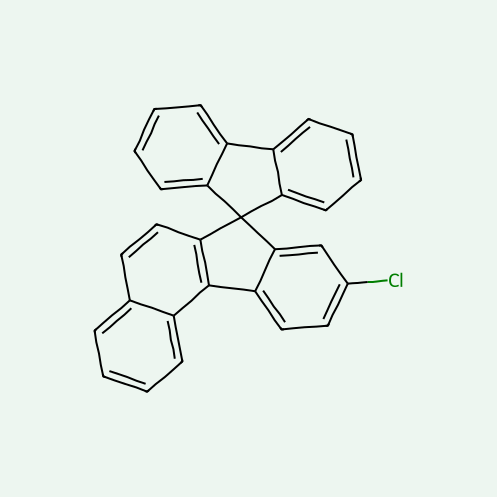 Clc1ccc2c(c1)C1(c3ccccc3-c3ccccc31)c1ccc3ccccc3c1-2